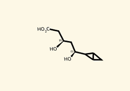 O=C(O)C[C@H](O)C[C@H](O)C1C2CC21